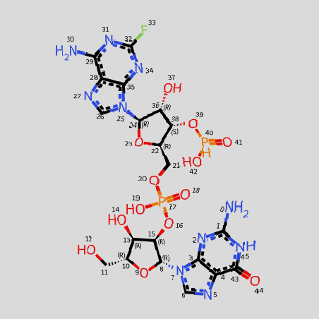 Nc1nc2c(ncn2[C@@H]2O[C@H](CO)[C@@H](O)[C@H]2OP(=O)(O)OC[C@H]2O[C@@H](n3cnc4c(N)nc(F)nc43)[C@H](O)[C@@H]2O[PH](=O)O)c(=O)[nH]1